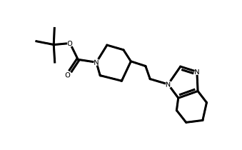 CC(C)(C)OC(=O)N1CCC(CCn2cnc3c2CCCC3)CC1